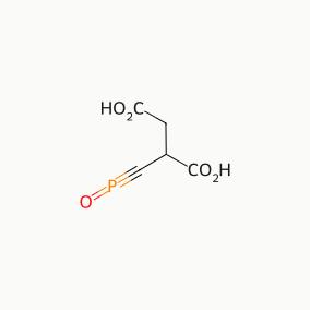 O=P#CC(CC(=O)O)C(=O)O